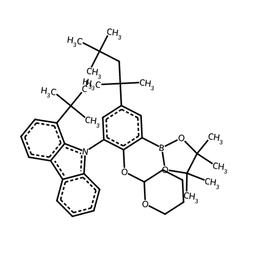 CC(C)(C)CC(C)(C)c1cc(B2OC(C)(C)C(C)(C)O2)c(OC2CCCCO2)c(-n2c3ccccc3c3cccc(C(C)(C)C)c32)c1